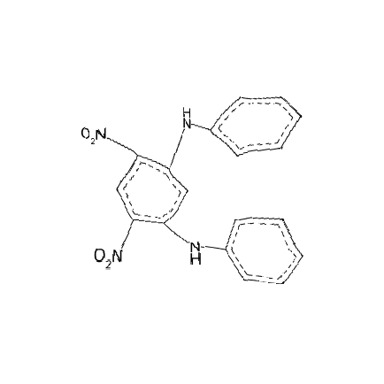 O=[N+]([O-])c1cc([N+](=O)[O-])c(Nc2ccccc2)cc1Nc1ccccc1